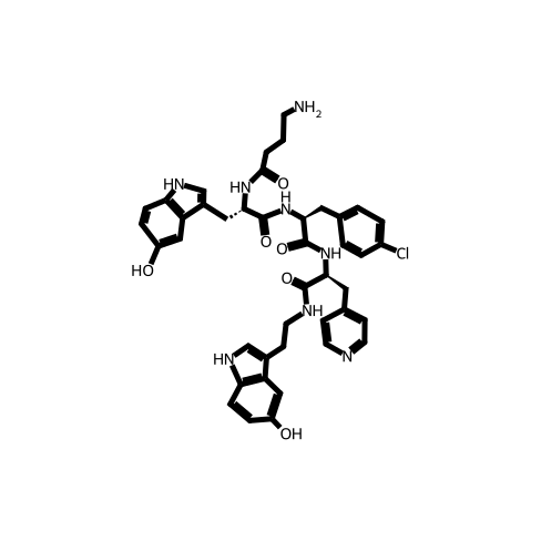 NCCCC(=O)N[C@@H](Cc1c[nH]c2ccc(O)cc12)C(=O)N[C@@H](Cc1ccc(Cl)cc1)C(=O)N[C@@H](Cc1ccncc1)C(=O)NCCc1c[nH]c2ccc(O)cc12